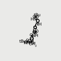 CC(C)(C)OC(=O)N[C@H]1CCC[C@@H](NCc2ccc(-n3ccc(NC(=O)N4CCN(C(=O)C(C)(C)NC(=O)OC(C)(C)C)CC4)nc3=O)cc2)C1